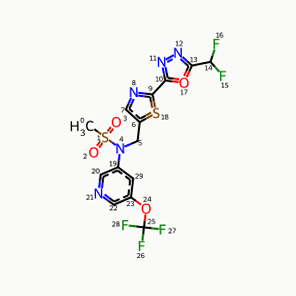 CS(=O)(=O)N(Cc1cnc(-c2nnc(C(F)F)o2)s1)c1cncc(OC(F)(F)F)c1